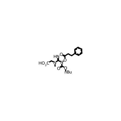 CCCCOC(=O)N(OC(=O)CCc1ccccc1)C(=N)N(C)CC(=O)O